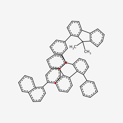 CC1(C)c2ccccc2-c2cccc(-c3cccc(N(c4ccc(-c5cccc6ccccc56)cc4)c4cccc(-c5ccccc5)c4-c4ccccc4-c4ccccc4)c3)c21